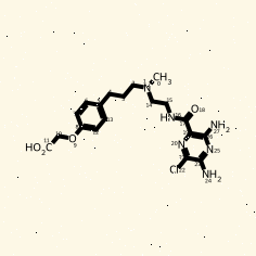 CN(CCCc1ccc(OCC(=O)O)cc1)CCNC(=O)c1nc(Cl)c(N)nc1N